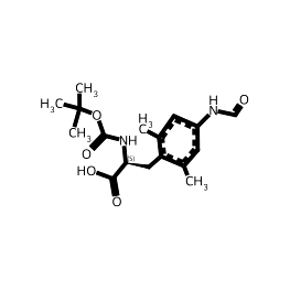 Cc1cc(NC=O)cc(C)c1C[C@H](NC(=O)OC(C)(C)C)C(=O)O